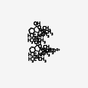 C[Si](C)(C)N=C(N[Si](C)(C)C)c1ccccc1C(=O)O.C[Si](C)(C)N=C(N[Si](C)(C)C)c1ccccc1C(=O)O.[Cl-].[Cl-].[Zr+2]